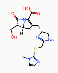 C[C@@H](O)[C@H]1C(=O)N2C(C(=O)O)=C(C[C@@H]3CNC(CSc4nccn4C)=N3)C[C@H]12